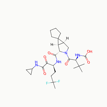 CC(F)(F)CC[C@H](NC(=O)[C@@H]1[C@@H]2[C@H](CN1C(=O)[C@@H](NC(=O)O)C(C)(C)C)C21CCCC1)C(=O)C(=O)NC1CC1